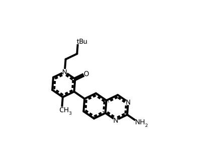 Cc1ccn(CCC(C)(C)C)c(=O)c1-c1ccc2nc(N)ncc2c1